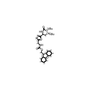 CCCCOCC(NC(=O)OC(C)(C)C)c1nnc(CNC(=O)OCC2c3ccccc3-c3ccccc32)o1